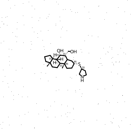 C[C@@]12CCC[C@H]1[C@@H]1[C@H](O)[C@H](CO)C3C[C@H](S[C@H]4CCNC4)CC[C@]3(C)[C@H]1CC2